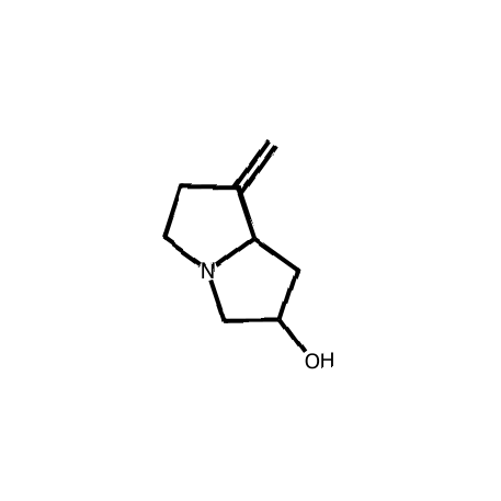 C=C1CCN2CC(O)CC12